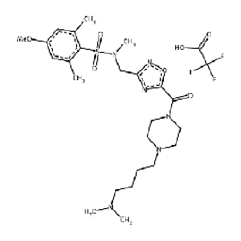 COc1cc(C)c(S(=O)(=O)N(C)Cc2noc(C(=O)N3CCN(CCCCN(C)C)CC3)n2)c(C)c1.O=C(O)C(F)(F)F